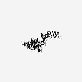 COc1cc2nccc(Oc3ccc(NC(=O)Oc4nn(C)c(=O)n(C(C)c5nc[nH]n5)c4=O)cc3F)c2cc1OC